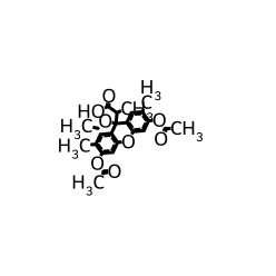 CCOC1(C(C)C(=O)O)c2cc(C)c(OC(C)=O)cc2Oc2cc(OC(C)=O)c(C)cc21